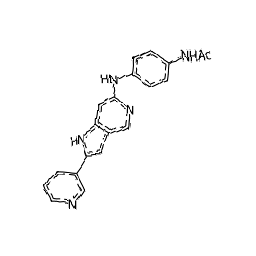 CC(=O)Nc1ccc(Nc2cc3[nH]c(-c4cccnc4)cc3cn2)cc1